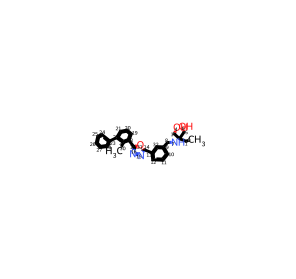 CCC(CO)(CO)NCc1cccc(-c2nnc(-c3cccc(-c4ccccc4)c3C)o2)c1